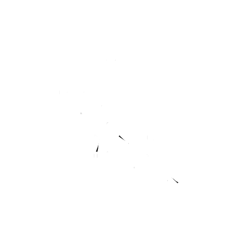 C[C@H](CC[C]=O)[C@H]1CC[C@H]2[C@@H]3CC[C@@H]4C[C@H](O)CC[C@]4(C)[C@H]3CC[C@]12C